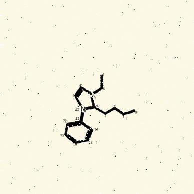 CCCCC1N(CC)C=CN1c1ccccc1